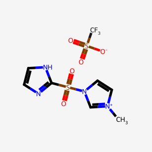 C[n+]1ccn(S(=O)(=O)c2ncc[nH]2)c1.O=S(=O)([O-])C(F)(F)F